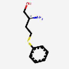 N[C@H](CO)CCSc1ccccc1